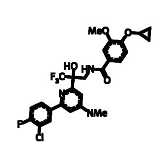 CNc1cc(-c2ccc(F)c(Cl)c2)nc(C(O)(CNC(=O)c2ccc(OC3CC3)c(OC)c2)C(F)(F)F)c1